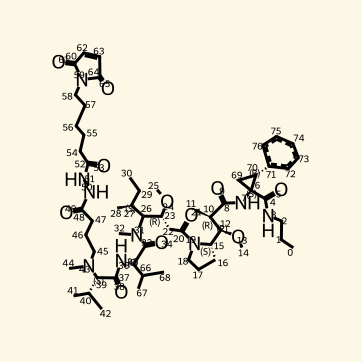 CCCNC(=O)[C@]1(NC(=O)[C@H](C)[C@@H](OC)[C@@H]2CCCN2C(=O)C[C@@H](OC)C([C@@H](C)CC)N(C)C(=O)[C@@H](NC(=O)[C@H](C(C)C)N(C)CCCC(=O)NNC(=O)CCCCCN2C(=O)C=CC2=O)C(C)C)C[C@@H]1c1ccccc1